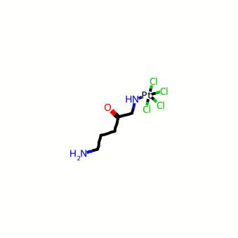 NCCCC(=O)C[NH][Pt]([Cl])([Cl])([Cl])[Cl]